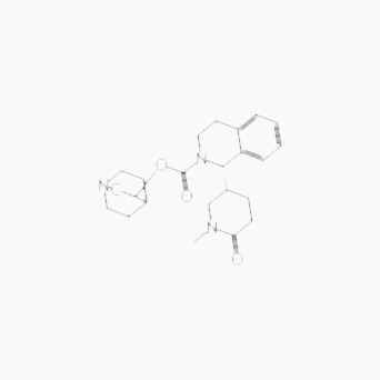 CN1CC([C@H]2c3ccccc3CCN2C(=O)OC2CN3CCC2CC3)CCC1=O